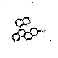 C1=NCSc2ccccc21.N=C1CCC2c3ccc4ccccc4c3C=CC2C1